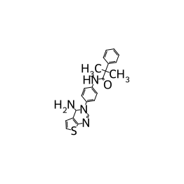 CC(C)(C(=O)Nc1ccc(N2C=Nc3sccc3C2N)cc1)c1ccccc1